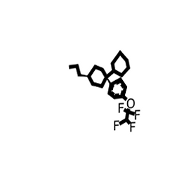 CCC[C@H]1CC[C@](c2ccc(OC(F)(F)C(F)F)cc2)(C2CCCCC2)CC1